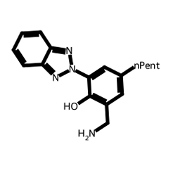 CCCCCc1cc(CN)c(O)c(-n2nc3ccccc3n2)c1